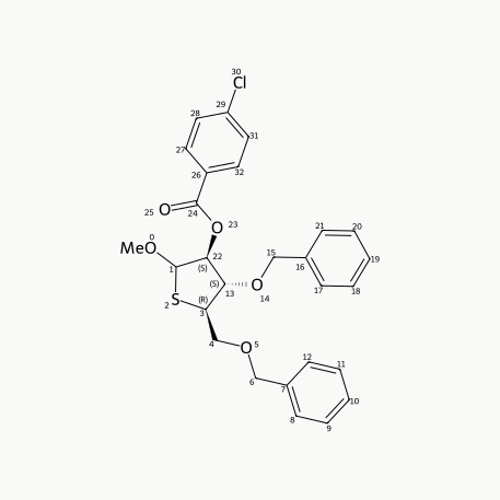 COC1S[C@H](COCc2ccccc2)[C@@H](OCc2ccccc2)[C@@H]1OC(=O)c1ccc(Cl)cc1